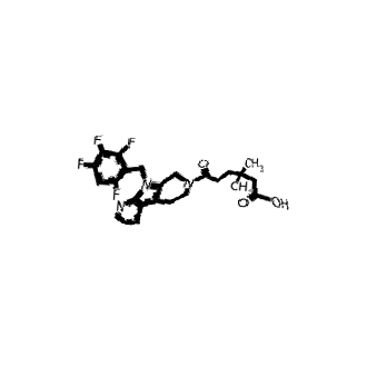 CC(C)(CCC(=O)N1CCc2c(n(Cc3c(F)cc(F)c(F)c3F)c3ncccc23)C1)CC(=O)O